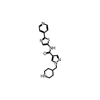 O=C(Nc1cnc(-c2ccncc2)s1)c1cnn(CC2CCNCC2)c1